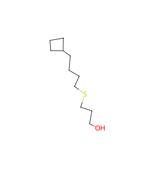 OCCCSCCCCC1CCC1